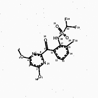 COc1cc(OC)nc(C(=O)c2cccc(F)c2NS(=O)(=O)C(F)F)n1